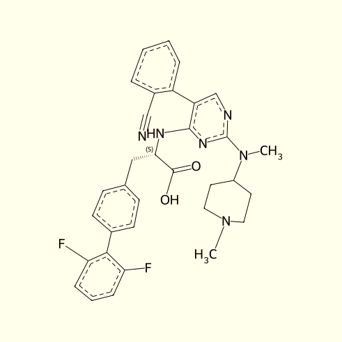 CN1CCC(N(C)c2ncc(-c3ccccc3C#N)c(N[C@@H](Cc3ccc(-c4c(F)cccc4F)cc3)C(=O)O)n2)CC1